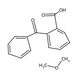 COC.O=C(O)c1ccccc1C(=O)c1ccccc1